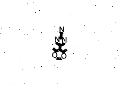 CC1OCCOC(C)C1c1cnc(C#N)nc1